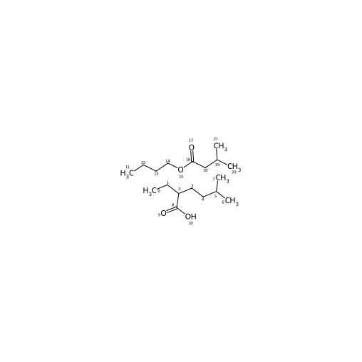 CCC(CCC(C)C)C(=O)O.CCCCOC(=O)CC(C)C